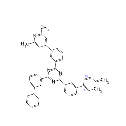 C=C/C=C\C(=C/C)c1cccc(-c2nc(-c3cccc(-c4cc(C)nc(C)c4)c3)nc(-c3cccc(C4C=CC=CC4)c3)n2)c1